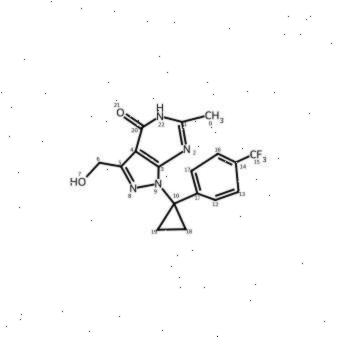 Cc1nc2c(c(CO)nn2C2(c3ccc(C(F)(F)F)cc3)CC2)c(=O)[nH]1